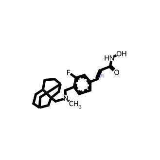 CN(Cc1ccc(/C=C/C(=O)NO)cc1F)CC12CC3CCC1CCC(C3)C2